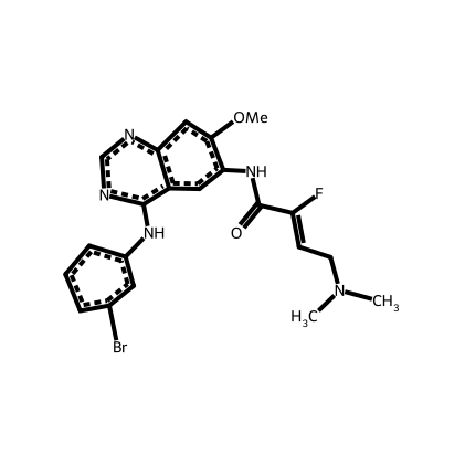 COc1cc2ncnc(Nc3cccc(Br)c3)c2cc1NC(=O)C(F)=CCN(C)C